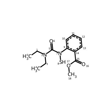 CCN(CC)C(=O)N(S)c1ccccc1C(=O)OC